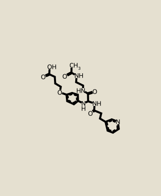 CC(=O)NCCNC(=O)C(NC(=O)CCc1cccnc1)Nc1ccc(OCCCC(=O)O)cc1